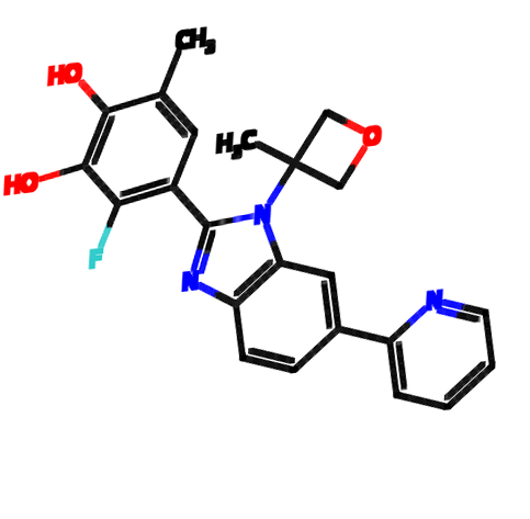 Cc1cc(-c2nc3ccc(-c4ccccn4)cc3n2C2(C)COC2)c(F)c(O)c1O